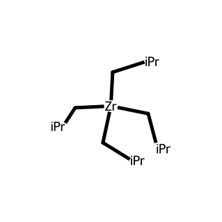 CC(C)[CH2][Zr]([CH2]C(C)C)([CH2]C(C)C)[CH2]C(C)C